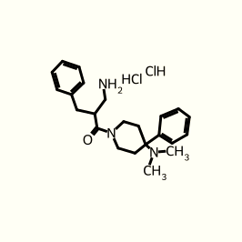 CN(C)C1(c2ccccc2)CCN(C(=O)C(CN)Cc2ccccc2)CC1.Cl.Cl